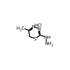 CC1=NN=C(NN)SC1.Cl